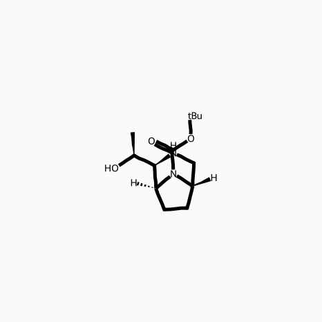 C[C@H](O)[C@H]1NC[C@@H]2CC[C@@H]1N2C(=O)OC(C)(C)C